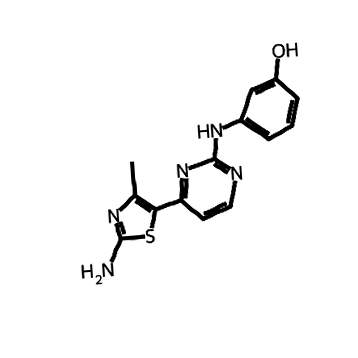 Cc1nc(N)sc1-c1ccnc(Nc2cccc(O)c2)n1